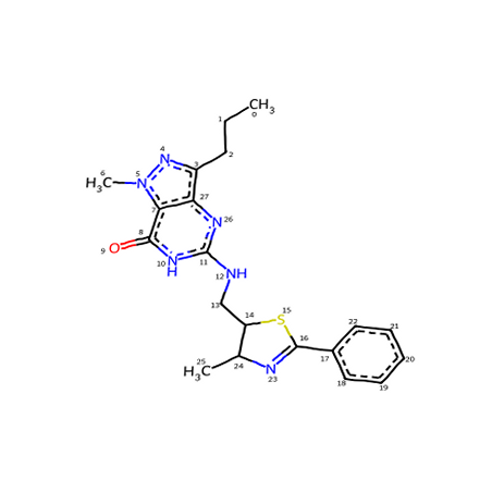 CCCc1nn(C)c2c(=O)[nH]c(NCC3SC(c4ccccc4)=NC3C)nc12